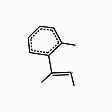 C[C]=C(C)c1ccccc1C